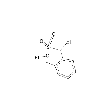 CCOS(=O)(=O)C(CC)c1ccccc1F